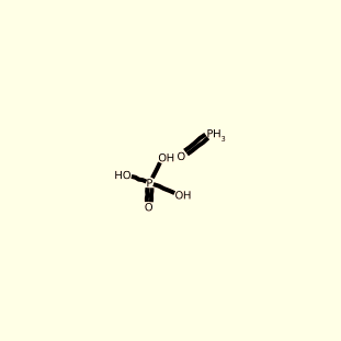 O=P(O)(O)O.O=[PH3]